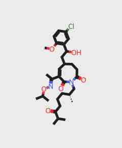 COc1ccc(Cl)cc1C(O)CC1/C=C(/C(C)=N/OC(C)C)C(=O)N(C[C@H](C)CCCC(=O)C(C)C)C(=O)CC1